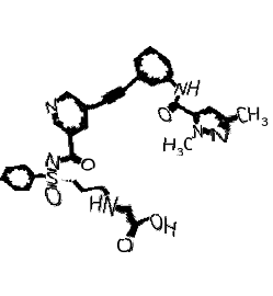 Cc1cc(C(=O)Nc2cccc(C#Cc3cncc(C(=O)N=[S@](=O)(CCCNCC(=O)O)c4ccccc4)c3)c2)n(C)n1